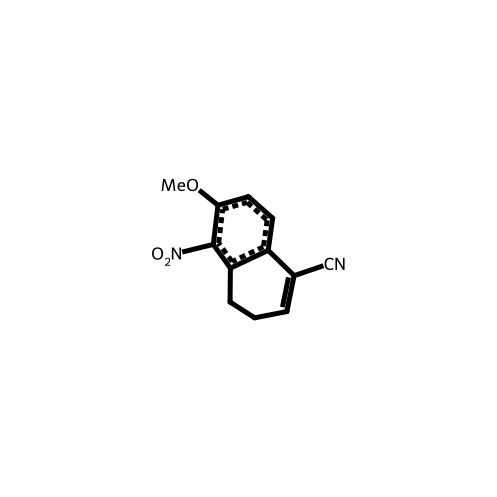 COc1ccc2c(c1[N+](=O)[O-])CCC=C2C#N